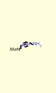 CNCC[N+]12CC[N+](CCN)(CC1)CC2